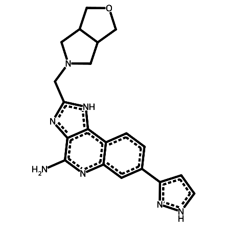 Nc1nc2cc(-c3cc[nH]n3)ccc2c2[nH]c(CN3CC4COCC4C3)nc12